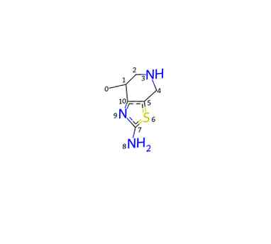 CC1CNCc2sc(N)nc21